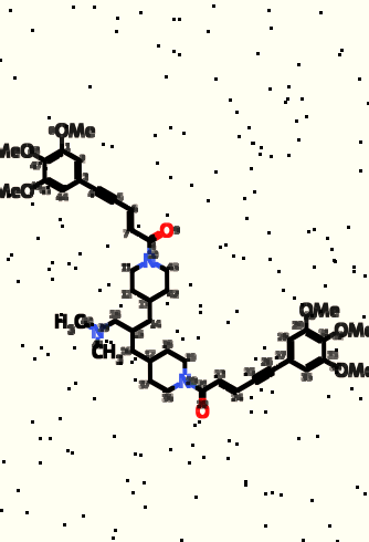 COc1cc(C#CC=CC(=O)N2CCC(CC(CC3CCN(C(=O)C=CC#Cc4cc(OC)c(OC)c(OC)c4)CC3)CN(C)C)CC2)cc(OC)c1OC